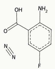 N#N.Nc1ccc(F)cc1C(=O)O